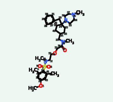 COc1cc(C)c(S(=O)(=O)N(C)CCOCC(=O)N(C)CC2CCC(Cc3ccccc3)(N3CCN(C)CC3)CC2)c(C)c1